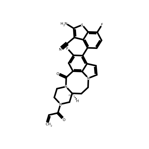 C=CC(=O)N1CCN2C(=O)c3cc(F)c(-c4ccc(F)c5sc(N)c(C#N)c45)c4ccn(c34)CC[C@H]2C1